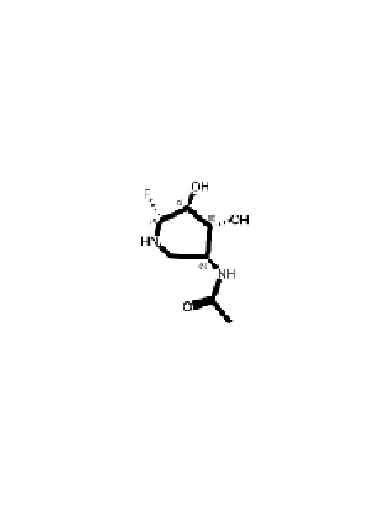 CC(=O)N[C@H]1CN[C@H](F)[C@@H](O)[C@@H]1O